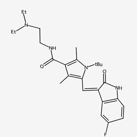 CCN(CC)CCNC(=O)c1c(C)c(/C=C2\C(=O)Nc3ccc(F)cc32)n(C(C)(C)C)c1C